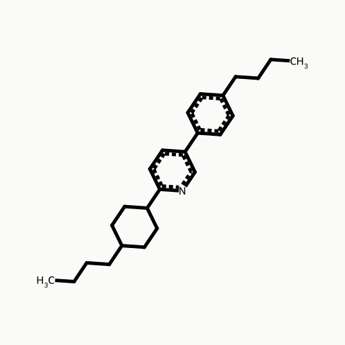 CCCCc1ccc(-c2ccc(C3CCC(CCCC)CC3)nc2)cc1